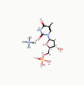 CC[N+](CC)(CC)CC.Cc1cn([C@H]2C[C@H](O)[C@@H](COP(=O)(O)O)O2)c(=O)[nH]c1=O